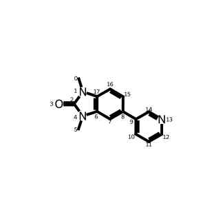 Cn1c(=O)n(C)c2cc(-c3cccnc3)ccc21